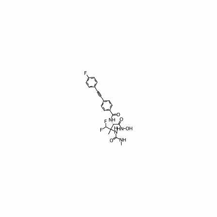 CNC(=O)NC(C)(C(F)F)[C@H](NC(=O)c1ccc(C#Cc2ccc(F)cc2)cc1)C(=O)NO